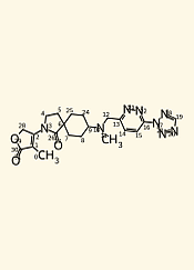 CC1=C(N2CCC3(CCC(N(C)Cc4ccc(-n5ncnn5)nn4)CC3)C2=O)COC1=O